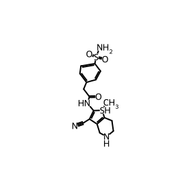 C[SH]1C2=C(CNCC2)C(C#N)=C1NC(=O)Cc1ccc(S(N)(=O)=O)cc1